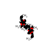 C=Cc1ccc(Oc2ccc(C3(c4cc(F)cc(F)c4)c4ccccc4-c4ccc(N(c5ccc(C)c(F)c5)c5ccc6c(c5)C5(CC6(C)C)CC(C)(C)c6ccc(N(c7ccc(C)c(F)c7)c7ccc8c(c7)C(c7ccc(Oc9ccc(C=C)cc9)cc7)(c7cc(F)cc(F)c7)c7ccccc7-8)cc65)cc43)cc2)cc1